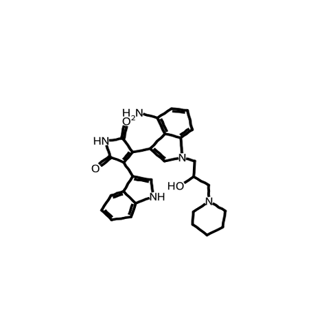 Nc1cccc2c1c(C1=C(c3c[nH]c4ccccc34)C(=O)NC1=O)cn2CC(O)CN1CCCCC1